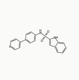 O=S(=O)(Nc1ccc(-c2ccncc2)cc1)c1cc2ccccc2[nH]1